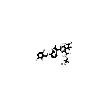 Cc1nc2c(OCc3c(F)ccc(F)c3F)cccn2c1-c1nc2c(c(C(=O)NCC(C)(C)N)n1)C(C)(C)C(=O)N2